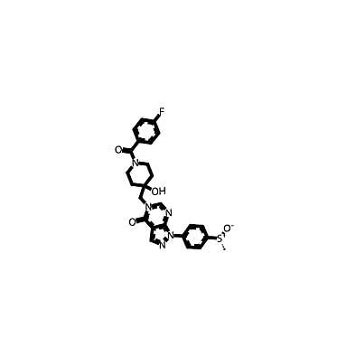 C[S@@+]([O-])c1ccc(-n2ncc3c(=O)n(CC4(O)CCN(C(=O)c5ccc(F)cc5)CC4)cnc32)cc1